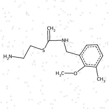 C=C(NCc1cccc(C)c1OC)SCCN